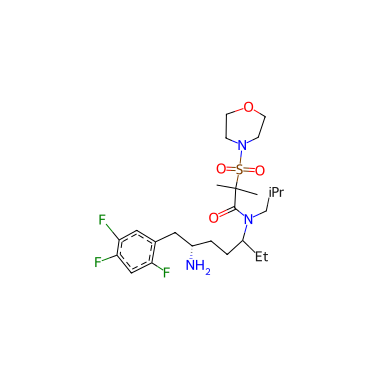 CCC(CC[C@H](N)Cc1cc(F)c(F)cc1F)N(CC(C)C)C(=O)C(C)(C)S(=O)(=O)N1CCOCC1